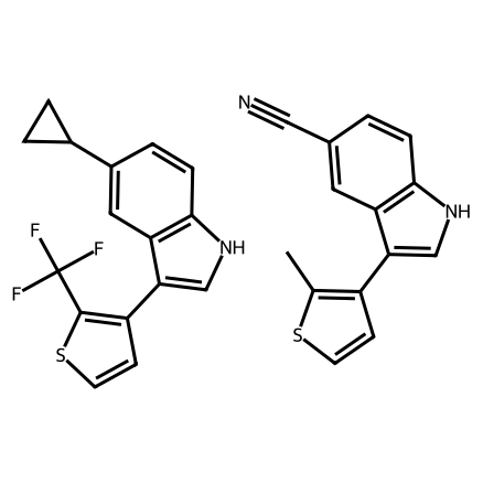 Cc1sccc1-c1c[nH]c2ccc(C#N)cc12.FC(F)(F)c1sccc1-c1c[nH]c2ccc(C3CC3)cc12